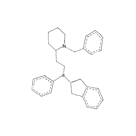 c1ccc(CN2CCCCC2CCN(c2ccccc2)C2Cc3ccccc3C2)cc1